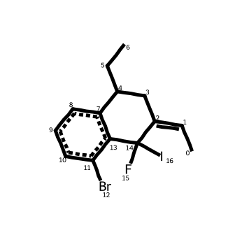 CC=C1CC(CC)c2cccc(Br)c2C1(F)I